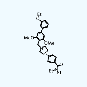 CCOc1cccc(-c2cc(OC)c(CN3CCN(c4ccc(C(=O)N(CC)CC)cc4)CC3)c(OC)c2)c1